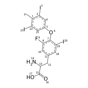 Cc1c(I)cc(Oc2c(F)cc(CC(N)C(=O)O)cc2I)cc1I